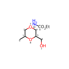 CC1COCC(CO)O1.CCOC(N)=O